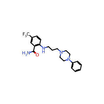 NC(=O)c1cc(C(F)(F)F)ccc1NCCCN1CCN(c2ccccc2)CC1